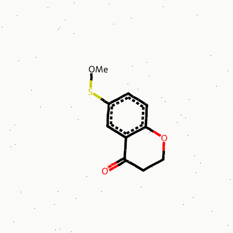 COSc1ccc2c(c1)C(=O)CCO2